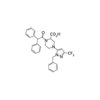 O=C(O)C1CN(c2cc(C(F)(F)F)nn2Cc2ccccc2)CCN1C(=O)C(c1ccccc1)c1ccccc1